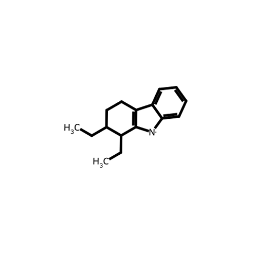 CCC1CCC2=C([N]c3ccccc32)C1CC